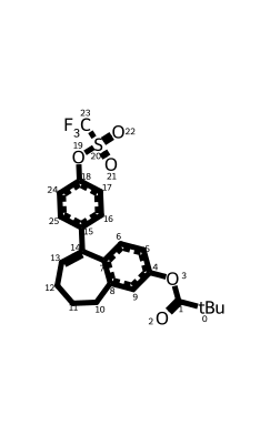 CC(C)(C)C(=O)Oc1ccc2c(c1)CCCC=C2c1ccc(OS(=O)(=O)C(F)(F)F)cc1